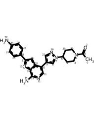 CC(=O)N1CCC(n2cc(-c3cnc(N)c4oc(-c5ccc(N)cc5)cc34)cn2)CC1